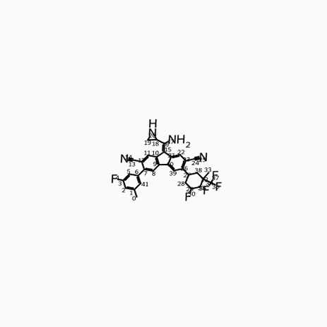 Cc1cc(F)cc(-c2cc3c(cc2C#N)/C(=C(/N)C2CN2)c2cc(C#N)c(C4CC(F)CC(C)(C(F)(F)F)C4)cc2-3)c1